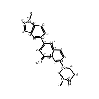 C[C@H]1CN(c2ccc3nc(-c4ccc5c(cnn5C)c4)cc(=O)n3c2)CCN1